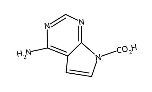 Nc1ncnc2c1ccn2C(=O)O